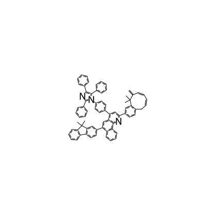 C=C1/C=C\C=C/Cc2ccc(-c3cc(-c4ccc(-n5c(-c6ccccc6)nc(-c6ccccc6)c5-c5ccccc5)cc4)c4cc(-c5ccc6c(c5)C(C)(C)c5ccccc5-6)c5ccccc5c4n3)cc2C1(C)C